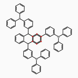 c1ccc(N(c2ccccc2)c2cccc(-c3ccc4c(c3)C3(c5cccc(N(c6ccccc6)c6ccccc6)c5)c5ccccc5C4(c4cccc(N(c5ccccc5)c5ccccc5)c4)c4ccccc43)c2)cc1